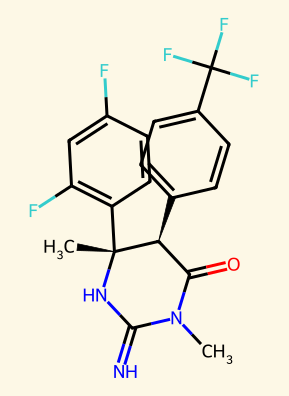 CN1C(=N)N[C@](C)(c2ccc(F)cc2F)[C@@H](c2ccc(C(F)(F)F)cc2)C1=O